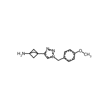 COc1ccc(Cn2cc(C34CC(N)(C3)C4)nn2)cc1